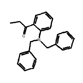 CCC(=O)c1ccccc1N(Cc1ccccc1)Cc1ccccc1